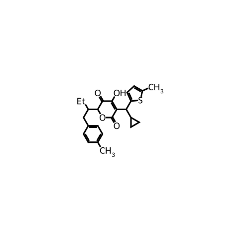 CCC(Cc1ccc(C)cc1)C1OC(=O)C(C(c2ccc(C)s2)C2CC2)=C(O)C1=O